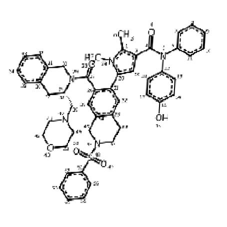 Cc1c(C(=O)N(c2ccccc2)c2ccc(O)cc2)cc(-c2cc3c(cc2C(=O)N2Cc4ccccc4C[C@H]2CN2CCOCC2)CN(S(=O)(=O)c2ccccc2)CC3)n1C